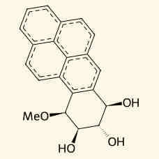 CO[C@H]1c2c(cc3ccc4cccc5ccc2c3c45)[C@@H](O)[C@H](O)[C@H]1O